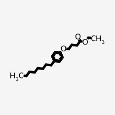 CCCCCCCCc1ccc(OCCCC(=O)OCC)cc1